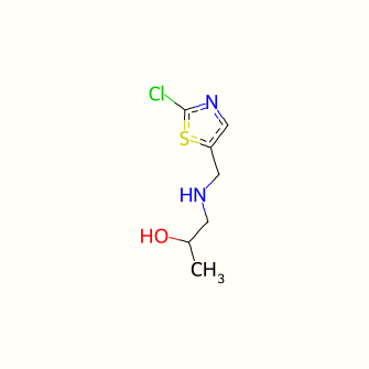 CC(O)CNCc1cnc(Cl)s1